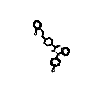 O=C(N[C@@H](c1ccc(Cl)cc1)c1ccccn1)C1CCN(CCn2ccccc2=O)CC1